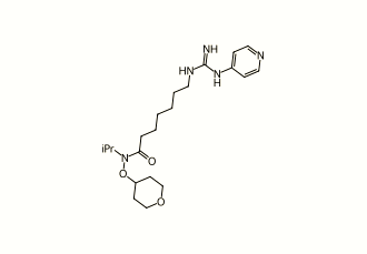 CC(C)N(OC1CCOCC1)C(=O)CCCCCCNC(=N)Nc1ccncc1